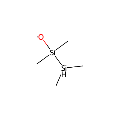 C[SiH](C)[Si](C)(C)[O]